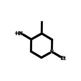 CCN1CCC([NH])C(C)C1